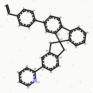 C=Cc1ccc(-c2ccc3c(c2)C2(Cc4ccc(-c5ccccn5)cc4C2)c2ccccc2-3)cc1